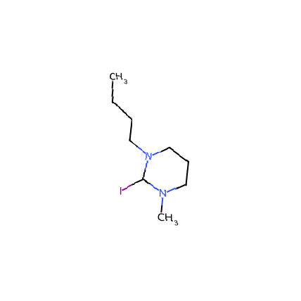 CCCCN1CCCN(C)C1I